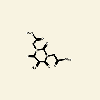 C=C1C(=O)N(CC(=O)OC)C(=O)N(CC(=O)OC)C1=O